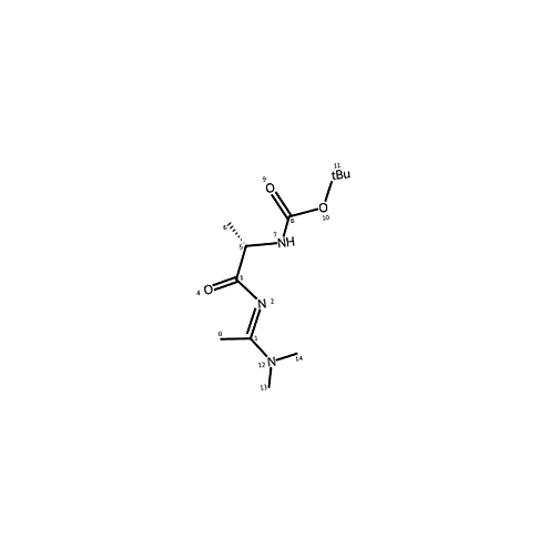 C/C(=N\C(=O)[C@H](C)NC(=O)OC(C)(C)C)N(C)C